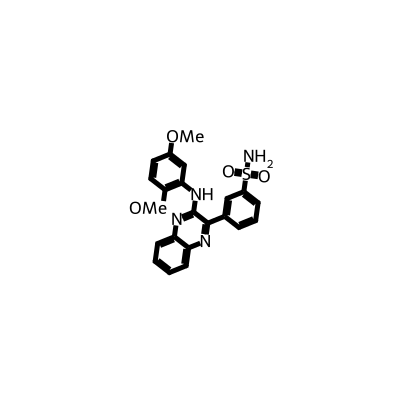 COc1ccc(OC)c(Nc2nc3ccccc3nc2-c2cccc(S(N)(=O)=O)c2)c1